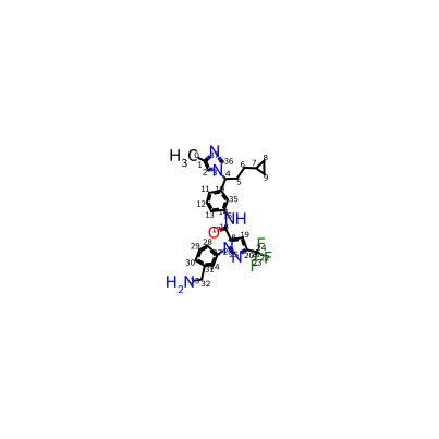 Cc1cn(C(CCC2CC2)c2cccc(NC(=O)c3cc(C(F)(F)F)nn3-c3cccc(CN)c3)c2)cn1